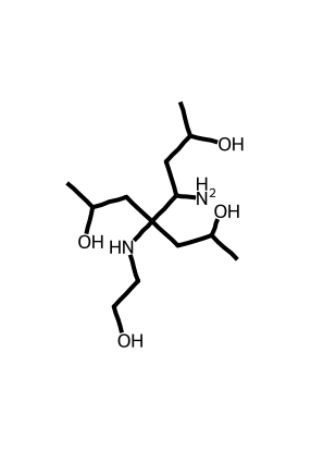 CC(O)CC(N)C(CC(C)O)(CC(C)O)NCCO